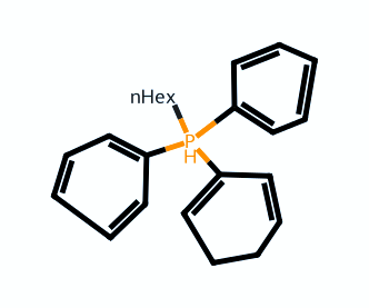 CCCCCC[PH](C1=CCCC=C1)(c1ccccc1)c1ccccc1